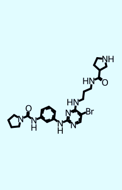 O=C(NCCCNc1nc(Nc2cccc(NC(=O)N3CCCC3)c2)ncc1Br)C1CCNC1